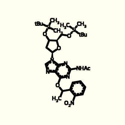 CC(=O)Nc1nc(OC(C)c2ccccc2[N+](=O)[O-])c2ncn([C@H]3CC(O[Si](C)(C)C(C)(C)C)[C@@H](CO[Si](C)(C)C(C)(C)C)O3)c2n1